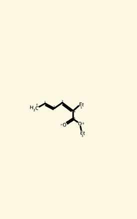 CC=CC=C(CC)C(=O)OCC